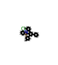 Cc1ccc(-c2cc(-c3ccccc3)cc(-c3cccc(Cl)c3)c2-c2nc3ccccc3s2)cc1